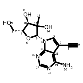 C#Cc1cn([C@@H]2O[C@H](CO)[C@@H](O)C2(C)O)c2ncnc(N)c12